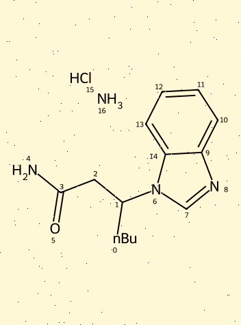 CCCCC(CC(N)=O)n1cnc2ccccc21.Cl.N